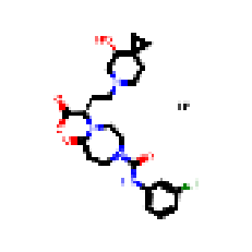 O=C([O-])[C@@H](CCN1CCC2(CC2)[C@H](O)C1)N1CCN(C(=O)Nc2cccc(Cl)c2)CCC1=O.[Li+]